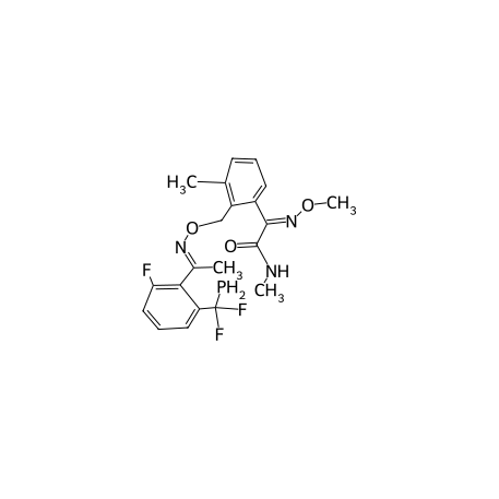 CNC(=O)/C(=N/OC)c1cccc(C)c1CO/N=C(\C)c1c(F)cccc1C(F)(F)P